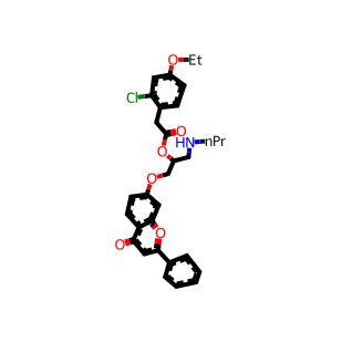 CCCNCC(COc1ccc2c(=O)cc(-c3ccccc3)oc2c1)OC(=O)Cc1ccc(OCC)cc1Cl